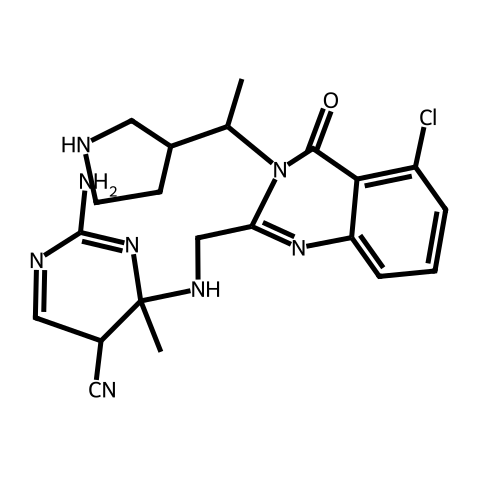 CC(C1CCNC1)n1c(CNC2(C)N=C(N)N=CC2C#N)nc2cccc(Cl)c2c1=O